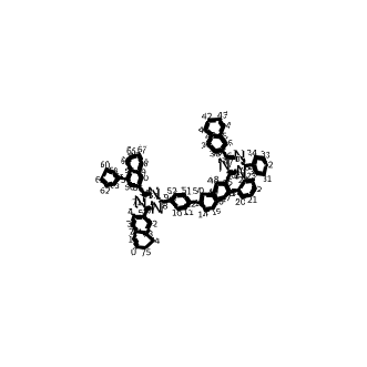 C1=Cc2ccc(-c3nc(-c4ccc(-c5ccc6cc(-c7ccccc7)c(-c7nc(-c8ccccc8)nc(-c8ccc9ccccc9c8)n7)cc6c5)cc4)nc(-c4cc(-c5ccccc5)c5ccccc5c4)n3)cc2CC1